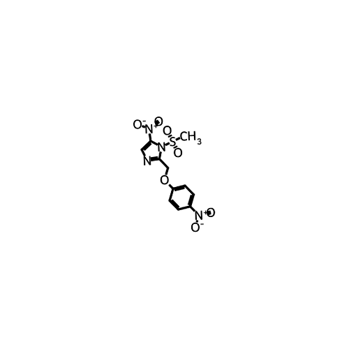 CS(=O)(=O)n1c([N+](=O)[O-])cnc1COc1ccc([N+](=O)[O-])cc1